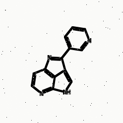 c1cncc(C2=Nc3ccnc4[nH]cc2c34)c1